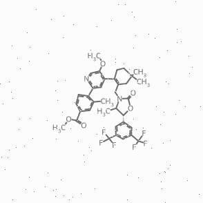 COC(=O)c1ccc(-c2cc(C3=C(CN4C(=O)O[C@H](c5cc(C(F)(F)F)cc(C(F)(F)F)c5)C4C)CC(C)(C)CC3)c(OC)cn2)c(C)c1